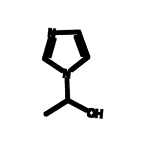 CC(O)n1ccnc1